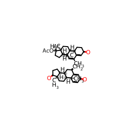 C=C1C[C@@H]2[C@H](CC[C@]3(C)C(=O)CC[C@@H]23)[C@@]2(C)C=CC(=O)C=C12.CC(=O)O[C@]1(C(C)=O)CC[C@H]2[C@@H]3C=C(C)C4=CC(=O)CC[C@]4(C)[C@H]3CC[C@@]21C